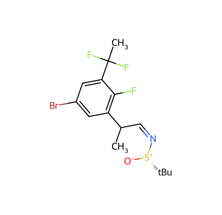 CC(/C=N\[S@@+]([O-])C(C)(C)C)c1cc(Br)cc(C(C)(F)F)c1F